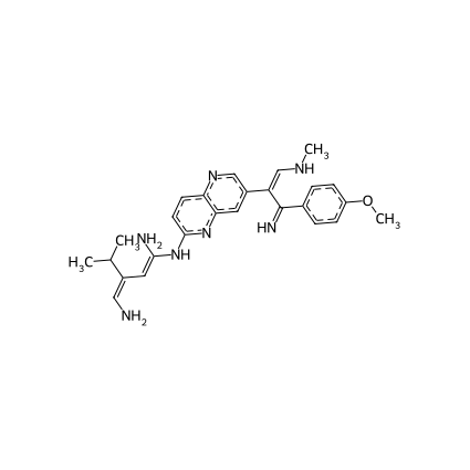 CN/C=C(\C(=N)c1ccc(OC)cc1)c1cnc2ccc(N/C(N)=C/C(=C\N)C(C)C)nc2c1